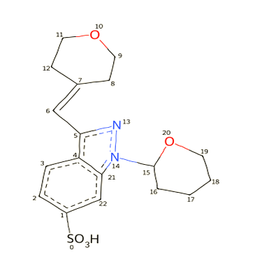 O=S(=O)(O)c1ccc2c(C=C3CCOCC3)nn(C3CCCCO3)c2c1